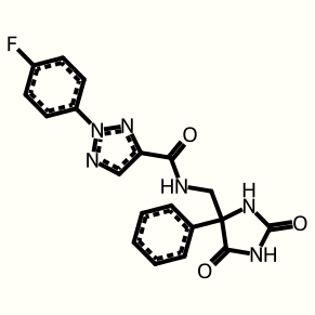 O=C1NC(=O)C(CNC(=O)c2cnn(-c3ccc(F)cc3)n2)(c2ccccc2)N1